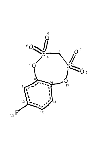 O=S1(=O)CS(=O)(=O)Oc2cc(F)ccc2O1